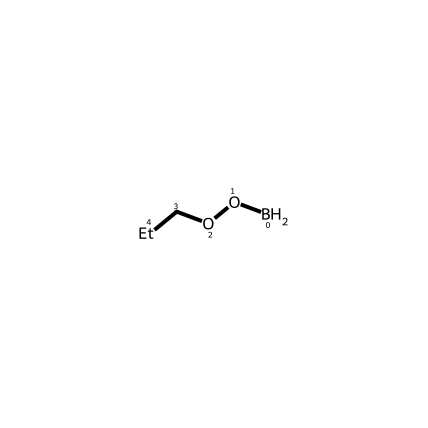 BOOCCC